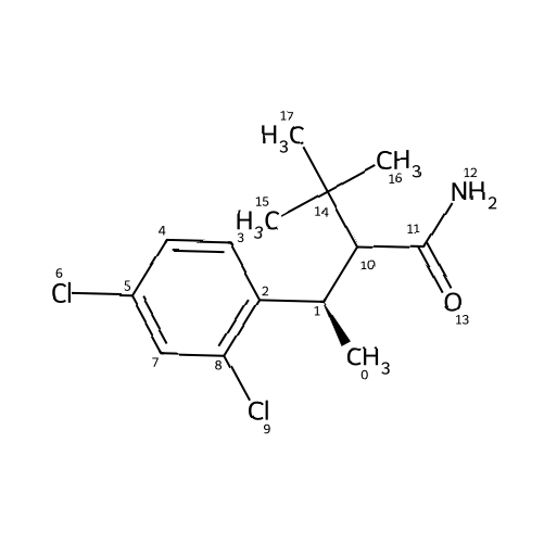 C[C@@H](c1ccc(Cl)cc1Cl)C(C(N)=O)C(C)(C)C